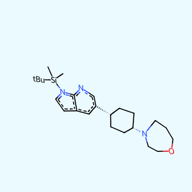 CC(C)(C)[Si](C)(C)n1ccc2cc([C@H]3CC[C@@H](N4CCCOCC4)CC3)cnc21